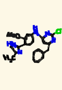 COc1cc(Nc2cc(Cc3ccccc3)nc(Cl)n2)ccc1-c1nc(C)c[nH]1